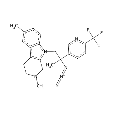 Cc1ccc2c(c1)c1c(n2CC(C)(N=[N+]=[N-])c2ccc(C(F)(F)F)nc2)CN(C)CC1